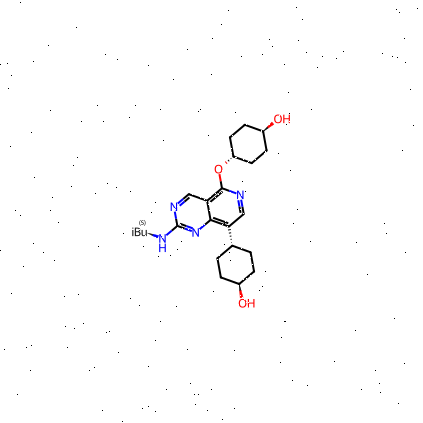 CC[C@H](C)Nc1ncc2c(O[C@H]3CC[C@H](O)CC3)ncc([C@H]3CC[C@H](O)CC3)c2n1